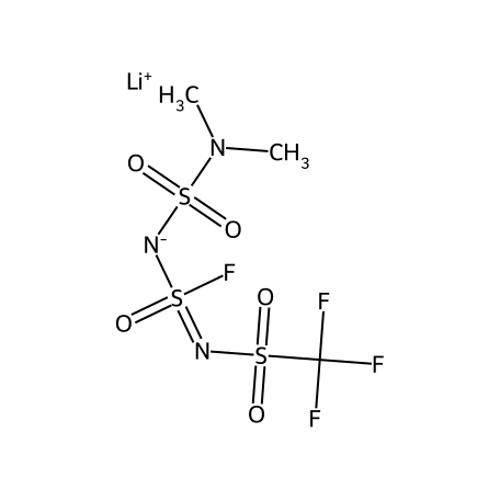 CN(C)S(=O)(=O)[N-]S(=O)(F)=NS(=O)(=O)C(F)(F)F.[Li+]